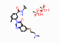 CS(=O)(=O)O.CS(=O)(=O)O.Cc1ccc(C(=O)NC2CC2)cc1-n1cnc2ccc(SCCN(C)C)cc2c1=O